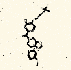 COc1ccnc([C@]23CCN(C(=O)c4ccc(OCCOC(F)(F)F)c(Cl)c4)CC2OCO3)c1